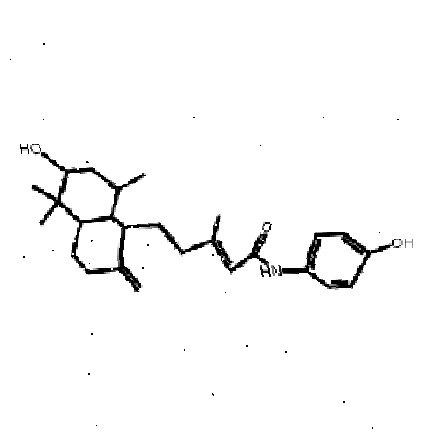 C=C1CCC2C(C(C)CC(O)C2(C)C)C1CC/C(C)=C/C(=O)Nc1ccc(O)cc1